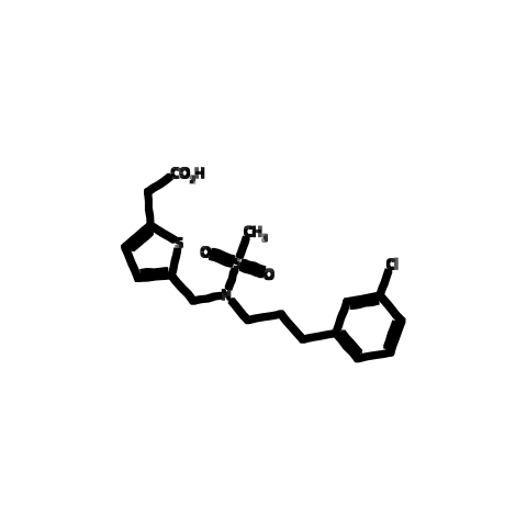 CS(=O)(=O)N(CCCc1cccc(Cl)c1)Cc1ccc(CC(=O)O)s1